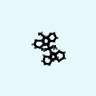 CC(C)c1c2c(c(C(C)(C)n3c4c(c5c3CCCC5)CCCC4)c3c1CCCC3)CCCC2